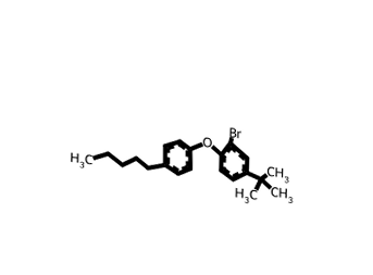 CCCCCc1ccc(Oc2ccc(C(C)(C)C)cc2Br)cc1